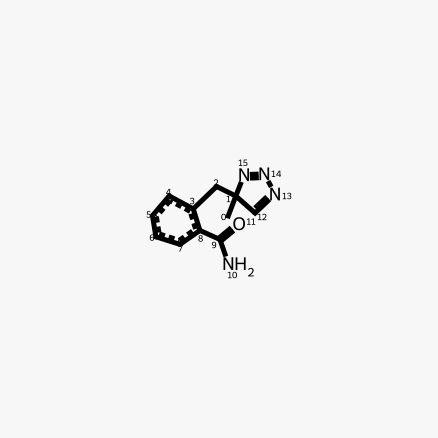 CC1(Cc2ccccc2C(N)=O)C=NN=N1